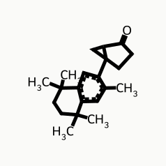 Cc1cc2c(cc1C13CCC(=O)C1C3)C(C)(C)CCC2(C)C